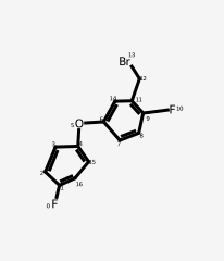 Fc1ccc(Oc2ccc(F)c(CBr)c2)cc1